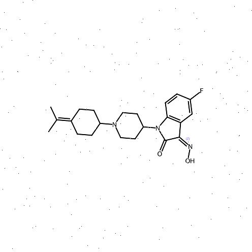 CC(C)=C1CCC(N2CCC(N3C(=O)/C(=N\O)c4cc(F)ccc43)CC2)CC1